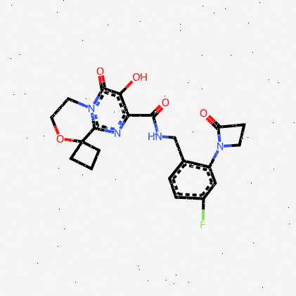 O=C(NCc1ccc(F)cc1N1CCC1=O)c1nc2n(c(=O)c1O)CCOC21CCC1